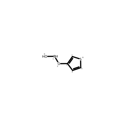 OBOc1ccsc1